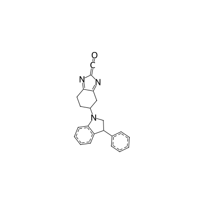 O=C=C1N=C2CCC(N3CC(c4ccccc4)c4ccccc43)CC2=N1